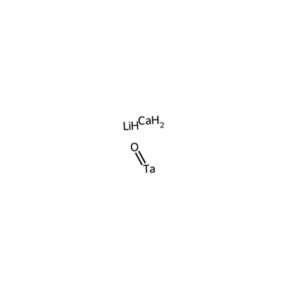 [CaH2].[LiH].[O]=[Ta]